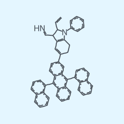 C=CC1C(C=N)C2=C(CCC(c3ccc4c(-c5cccc6ccccc56)c5ccccc5c(-c5cccc6ccccc56)c4c3)=C2)N1c1ccccc1